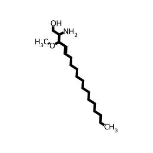 CCCCCCCCCCCCCC=CC(OC)C(N)CO